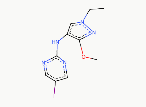 CCn1cc(Nc2ncc(I)cn2)c(OC)n1